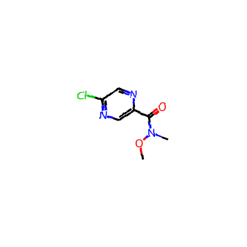 CON(C)C(=O)c1cnc(Cl)cn1